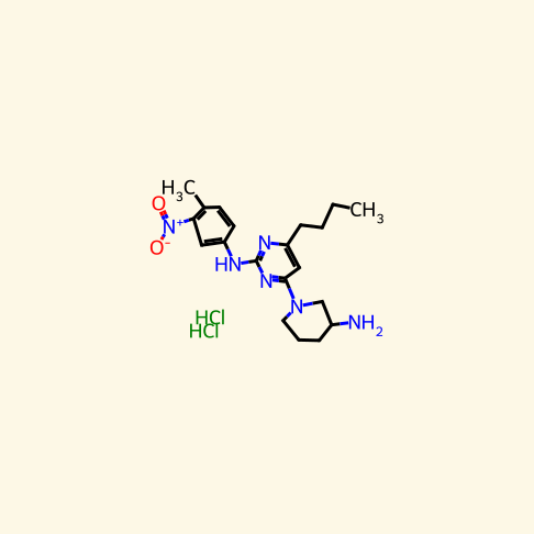 CCCCc1cc(N2CCCC(N)C2)nc(Nc2ccc(C)c([N+](=O)[O-])c2)n1.Cl.Cl